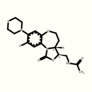 CC(=O)NC[C@H]1OC(=O)N2c3cc(F)c(N4CCSCC4)cc3OCC[C@H]12